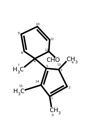 CC1=CC(C)C(C2(C)C=CC=CC2C=O)=C1C